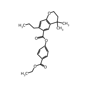 CCCc1cc2c(cc1C(=O)Oc1ccc(C(=O)OCC)cc1)C(C)(C)CCO2